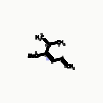 C=C/C=C(/OC)N(C)C